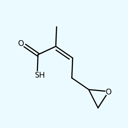 CC(=CCC1CO1)C(=O)S